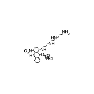 Cl.Cl.Cl.NCCCNCCNCCCNc1ccc([N+](=O)[O-])c2[nH]c3ccccc3c(=O)c12